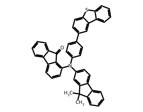 CC1(C)c2ccccc2-c2ccc(N(c3ccc(-c4ccc5sc6ccccc6c5c4)cc3)c3cccc4c3C(=O)c3ccccc3-4)cc21